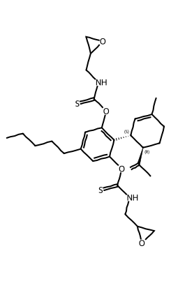 C=C(C)[C@@H]1CCC(C)=C[C@H]1c1c(OC(=S)NCC2CO2)cc(CCCCC)cc1OC(=S)NCC1CO1